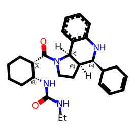 CCNC(=O)N[C@@H]1CCCC[C@@H]1C(=O)N1CC[C@@H]2[C@H](C3C=CC=CC3)Nc3ccccc3[C@@H]21